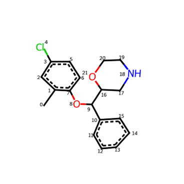 Cc1cc(Cl)ccc1OC(c1ccccc1)C1CNCCO1